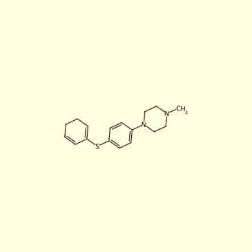 CN1CCN(c2ccc(SC3=CCCC=C3)cc2)CC1